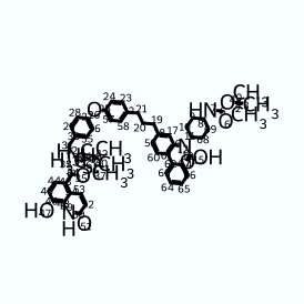 CC(C)(C)OC(=O)N[C@H]1CC[C@H](N(C(=O)O)c2cc(CCCc3ccc(Oc4ccc(CNC[C@H](O[Si](C)(C)C(C)(C)C)c5ccc(O)c6[nH]c(=O)ccc56)cc4)cc3)ccc2-c2ccccc2)CC1